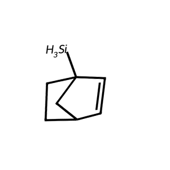 [SiH3]C12C=CC(CC1)C2